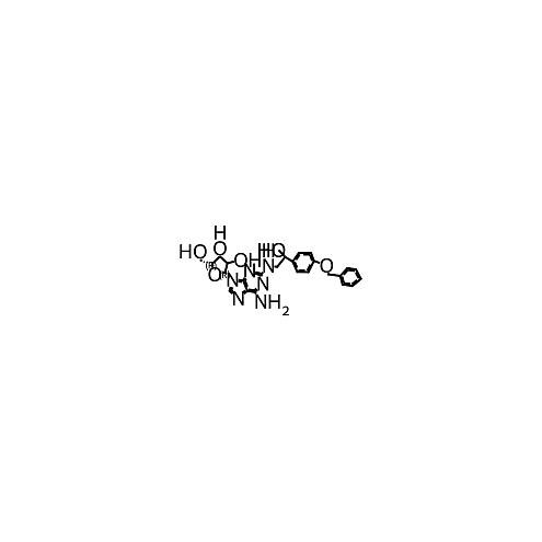 Nc1nc(NCC(O)c2ccc(OCc3ccccc3)cc2)nc2c1ncn2[C@@H]1O[C@H](CO)C(O)C1O